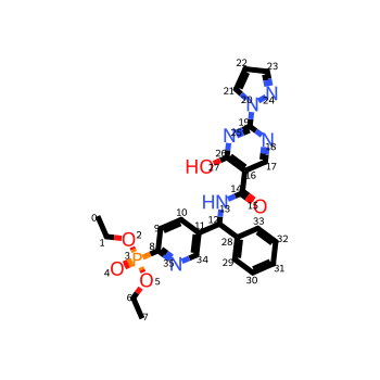 CCOP(=O)(OCC)c1ccc(C(NC(=O)c2cnc(-n3cccn3)nc2O)c2ccccc2)cn1